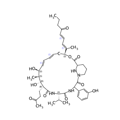 CCCC(=O)/C=C/C=C(\C)[C@@H]1C/C=C/C=C/[C@H](O)[C@H](C)[C@@H](O)[C@@H](CCC(C)=O)C(=O)N[C@@H](C(C)C)C(=O)NC(c2cccc(O)c2)C(=O)N2CCCC(N2)C(=O)O1